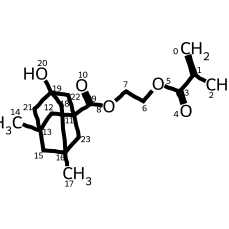 C=C(C)C(=O)OCCOC(=O)C12CC3(C)CC(C)(CC(O)(C3)C1)C2